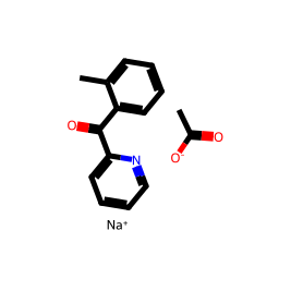 CC(=O)[O-].Cc1ccccc1C(=O)c1ccccn1.[Na+]